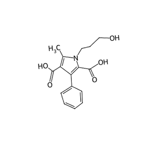 Cc1c(C(=O)O)c(-c2ccccc2)c(C(=O)O)n1CCCO